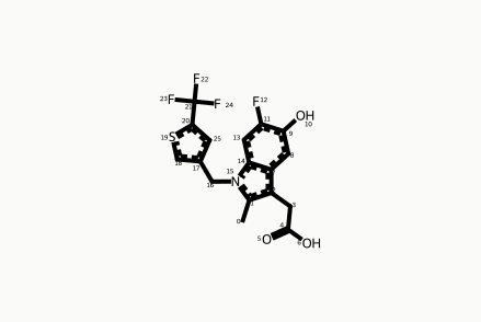 Cc1c(CC(=O)O)c2cc(O)c(F)cc2n1Cc1csc(C(F)(F)F)c1